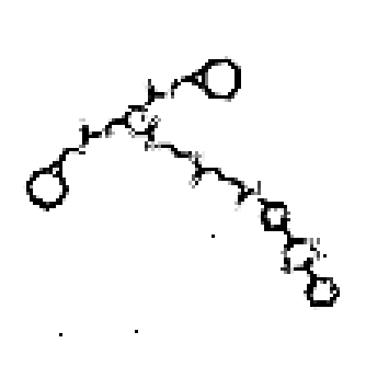 O=C(CCCC(=O)Nc1ccc(C2=NNC(c3ccccn3)=NN2)nc1)NCCNC(=O)OC(CNC(=O)OCC1C2CCC=CCCC21)CNC(=O)OCC1C2CCC=CCCC21